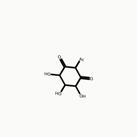 CC(=O)C1C(=O)C(O)C(O)C(O)C1=O